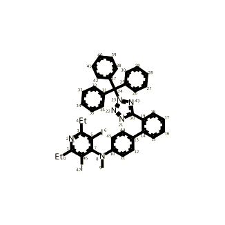 CCc1nc(CC)c(I)c(N(C)c2ccc(-c3ccccc3-c3nnn(C(c4ccccc4)(c4ccccc4)c4ccccc4)n3)cc2)c1I